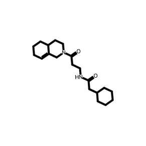 O=C(CC1CCCCC1)NCCC(=O)N1CCC2CCCC=C2C1